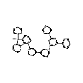 CC1(c2ccccc2)c2ccccc2-c2c(-c3cccc(-c4cccc(-c5nc(-c6ccccc6)nc(-c6ccccc6)n5)c4)c3)cccc21